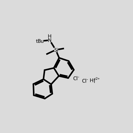 CC(C)(C)N[Si](C)(C)c1cccc2c1Cc1ccccc1-2.[Cl-].[Cl-].[Hf+2]